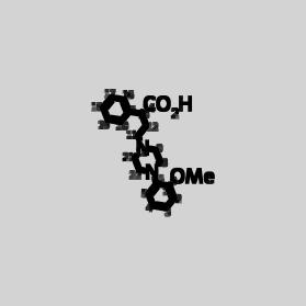 COc1ccccc1N1CCN(CCC(C(=O)O)c2ccccc2)CC1